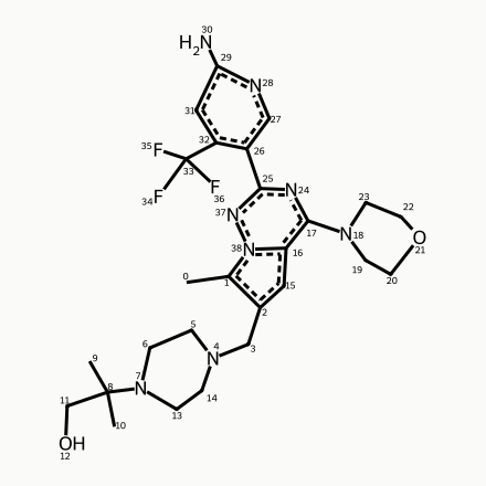 Cc1c(CN2CCN(C(C)(C)CO)CC2)cc2c(N3CCOCC3)nc(-c3cnc(N)cc3C(F)(F)F)nn12